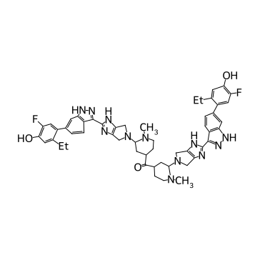 CCc1cc(O)c(F)cc1-c1ccc2c(-c3nc4c([nH]3)CN(C3CC(C(=O)C5CCN(C)C(N6Cc7nc(-c8n[nH]c9cc(-c%10cc(F)c(O)cc%10CC)ccc89)[nH]c7C6)C5)CCN3C)C4)n[nH]c2c1